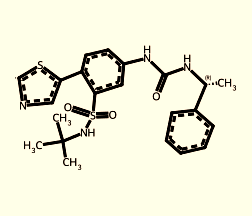 C[C@@H](NC(=O)Nc1ccc(-c2cn[c]s2)c(S(=O)(=O)NC(C)(C)C)c1)c1ccccc1